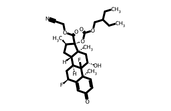 CCC(CC)COC(=O)O[C@@]1(C(=O)OCC#N)[C@H](C)C[C@H]2[C@@H]3C[C@H](F)C4=CC(=O)C=C[C@]4(C)C3(F)[C@@H](O)C[C@@]21C